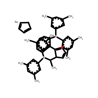 Cc1cc(C)cc(P(c2cc(C)cc(C)c2)c2ccccc2C2=CC=C[C]2C(C)P(c2cc(C)cc(C)c2)c2cc(C)cc(C)c2)c1.[CH]1C=CC=C1.[Fe]